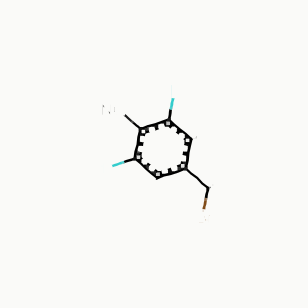 N#Cc1c(F)cc(CBr)cc1F